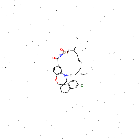 CC[C@H]1C/C=C/C[C@H](C)C/[SH](=O)=N\C(=O)c2ccc3c(c2)N(CC1)C[C@@]1(CCCc2cc(Cl)ccc21)CO3